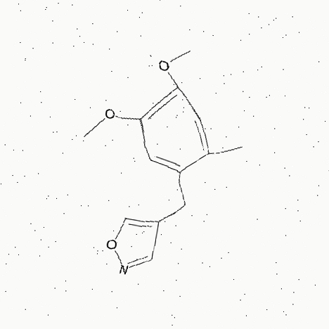 COc1cc(C)c(Cc2cnoc2)cc1OC